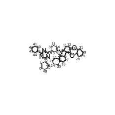 C1=CC(c2nc(C3=CC(n4c5ccc6c(c5c5ccc7c(c54)C=CCC7)Oc4ccccc4O6)=CCC3)nc(-c3ccccc3)n2)=CCC1